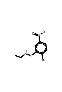 CCNSc1cc([N+](=O)[O-])ccc1Br